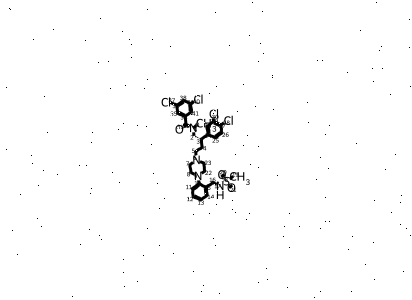 CN(C[C@@H](CCN1CCN(c2ccccc2CNS(C)(=O)=O)CC1)c1ccc(Cl)c(Cl)c1)C(=O)c1cc(Cl)cc(Cl)c1